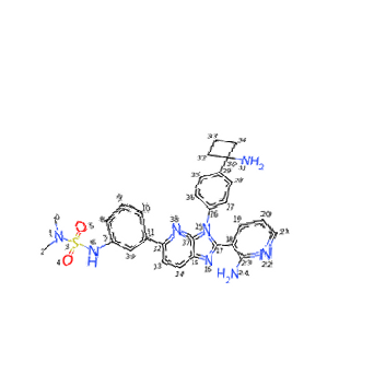 CN(C)S(=O)(=O)Nc1cccc(-c2ccc3nc(-c4cccnc4N)n(-c4ccc(C5(N)CCC5)cc4)c3n2)c1